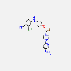 N#Cc1ccc(N[C@H]2CC[C@H](OCC(=S)N3CCN(c4ccc(N)cn4)CC3)CC2)cc1C(F)(F)F